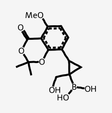 COc1ccc(C2CC2(CO)B(O)O)c2c1C(=O)OC(C)(C)O2